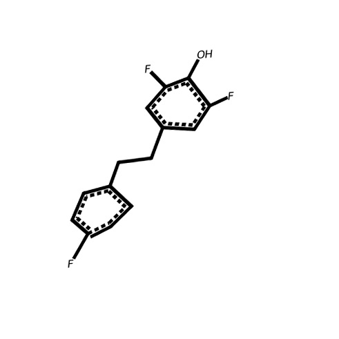 Oc1c(F)cc(CCc2ccc(F)cc2)cc1F